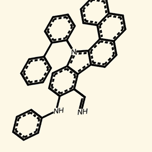 N=Cc1c(Nc2ccccc2)ccc2c1c1ccc3ccc4ccccc4c3c1n2-c1ccccc1-c1ccccc1